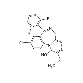 CCC1=NN=C2CN=C(c3c(F)cccc3F)c3cc(Cl)ccc3N2C1O